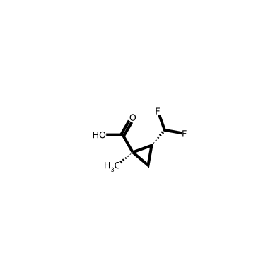 C[C@@]1(C(=O)O)C[C@H]1C(F)F